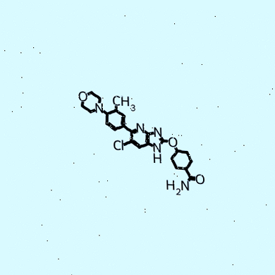 CC1C=C(c2nc3nc(OC4CCC(C(N)=O)CC4)[nH]c3cc2Cl)C=CC1N1CCOCC1